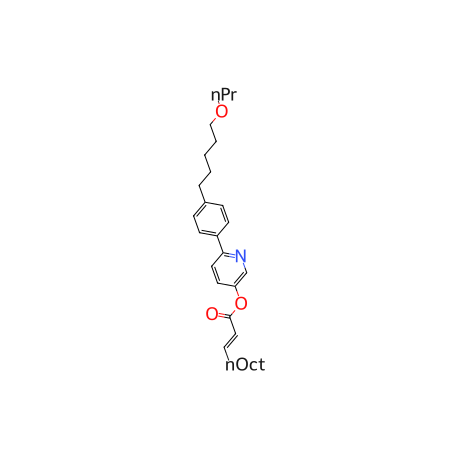 CCCCCCCCC=CC(=O)Oc1ccc(-c2ccc(CCCCCOCCC)cc2)nc1